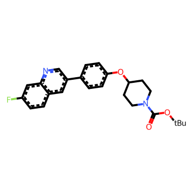 CC(C)(C)OC(=O)N1CCC(Oc2ccc(-c3cnc4cc(F)ccc4c3)cc2)CC1